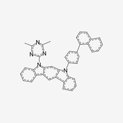 Cc1nc(C)nc(-n2c3ccccc3c3cc4c5ccccc5n(-c5ccc(-c6cccc7ccccc67)cc5)c4cc32)n1